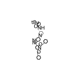 Cn1nc(-c2ccc(OCc3ccccc3)nc2OCc2ccccc2)c2ccc(N3CCC[C@@H](CNC(=O)OC(C)(C)C)C3)cc21